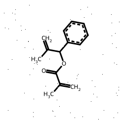 C=C(C)C(=O)OC(C(=C)C)c1ccccc1